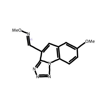 CO/N=C/c1cc2cc(OC)ccc2n2nnnc12